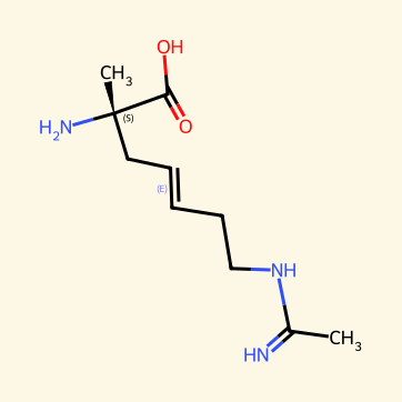 CC(=N)NCC/C=C/C[C@](C)(N)C(=O)O